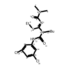 CCSC(=NC(=O)N(C)C)N(C(=O)Nc1cc(Cl)cc(Cl)c1)C(C)CC